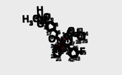 C=CCN(C(=O)Cc1ccc(S(=O)(=O)NC)cc1)C1CC2CCC(C1)N2CC1CN(C(=O)C2CCCC2)CC1(O)c1cccc(F)c1